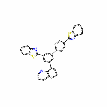 c1cnc2c(-c3cc(-c4ccc(-c5nc6ccccc6s5)cc4)cc(-c4nc5ccccc5s4)c3)cccc2c1